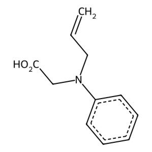 C=CCN(CC(=O)O)c1ccccc1